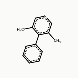 Cc1cncc(C)c1-c1[c]cccc1